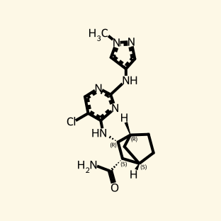 Cn1cc(Nc2ncc(Cl)c(N[C@@H]3[C@@H]4CC[C@@H](C4)[C@@H]3C(N)=O)n2)cn1